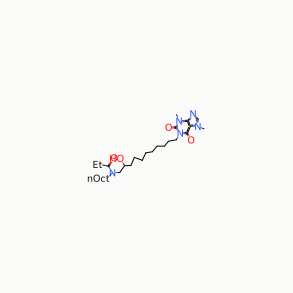 CCCCCCCCN(CC(O)CCCCCCCCCn1c(=O)c2c(ncn2C)n(C)c1=O)C(=O)CC